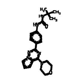 CC(C)(C)NC(=O)Nc1ccc(-c2nc(N3CCOCC3)c3cccn3n2)cc1